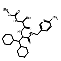 CCC(C)C(NC(=O)OC(C)(C)C)C(=O)N[C@@H](C(=O)NCc1ccc(N)nc1)C(C1CCCCC1)C1CCCCC1